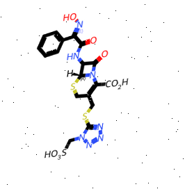 O=C(O)C1=C(CSc2nnnn2CS(=O)(=O)O)CS[C@@H]2C(NC(=O)/C(=N/O)c3ccccc3)C(=O)N12